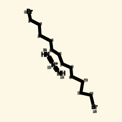 BrCCCCCCCCCCCCBr.N=[N+]=N